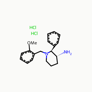 COc1ccccc1CN1CCC[C@@H](N)[C@@H]1c1ccccc1.Cl.Cl